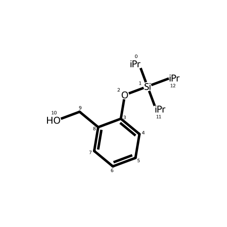 CC(C)[Si](Oc1ccccc1CO)(C(C)C)C(C)C